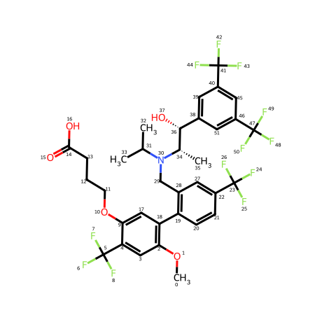 COc1cc(C(F)(F)F)c(OCCCC(=O)O)cc1-c1ccc(C(F)(F)F)cc1CN(C(C)C)[C@@H](C)[C@H](O)c1cc(C(F)(F)F)cc(C(F)(F)F)c1